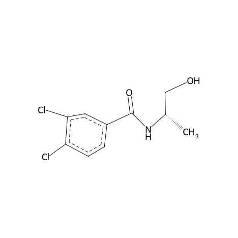 C[C@@H](CO)NC(=O)c1ccc(Cl)c(Cl)c1